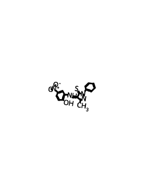 CC1=NN(c2ccccc2)C(=S)C1=CNc1cc([N+](=O)[O-])ccc1O